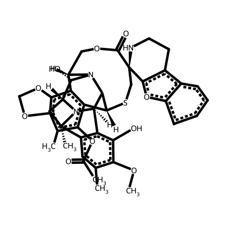 COc1c(C)cc2c(c1O)[C@@H]1C3[C@@H]4SC[C@]5(NCCc6c5oc5ccccc65)C(=O)OC[C@@H](c5c6c(c(C)c(OC(C)=O)c54)OCO6)N3[C@@H](O)[C@H]3C[C@@]2(C)N13